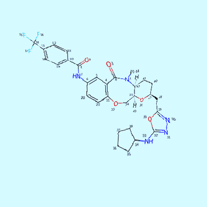 CN1C(=O)c2cc(NC(=O)c3ccc(C(F)(F)F)cc3)ccc2OC[C@@H]2O[C@H](Cc3nnc(NC4CCCC4)o3)CC[C@@H]21